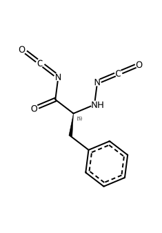 O=C=NN[C@@H](Cc1ccccc1)C(=O)N=C=O